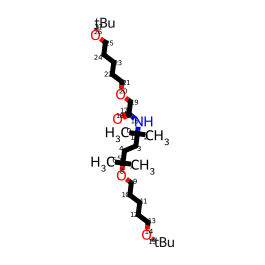 CC(C)(CCC(C)(C)OCCCCCOC(C)(C)C)NC(=O)COCCCCCOC(C)(C)C